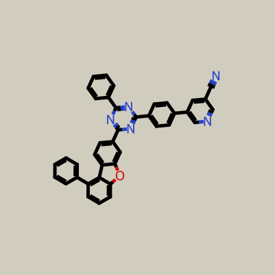 N#Cc1cncc(-c2ccc(-c3nc(-c4ccccc4)nc(-c4ccc5c(c4)oc4cccc(-c6ccccc6)c45)n3)cc2)c1